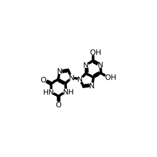 O=c1[nH]c(=O)c2ncn(-n3cnc4c(O)nc(O)nc43)c2[nH]1